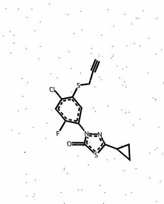 C#CCSc1cc(-n2nc(C3CC3)sc2=O)c(F)cc1Cl